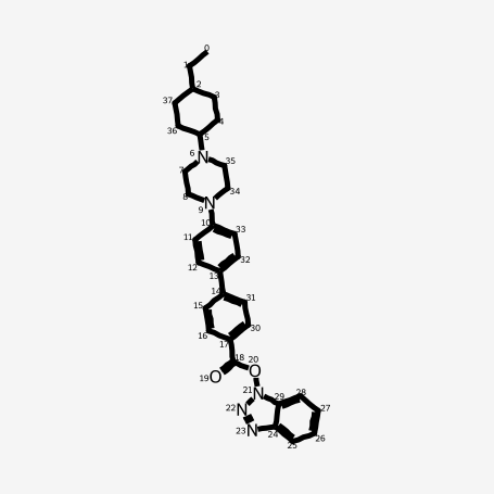 CCC1CCC(N2CCN(c3ccc(-c4ccc(C(=O)On5nnc6ccccc65)cc4)cc3)CC2)CC1